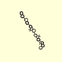 CC1(C)C2=C(CCC(C3=CC4=C(CC3)c3ccc(-c5ccc6ccc7c(c6n5)CCC=C7)cc3C4(C)C)=C2)c2ccc(-c3ccc4c(c3)CCC(c3ccc5ccccc5c3)=C4)cc21